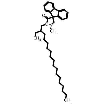 CCCCCCCCCCCCCCCCC(CC)COC(=O)C1(COC)c2ccccc2-c2ccccc21